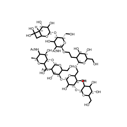 CC(=O)NC1C(O)[C@H](O[C@@H]2OC3CC(O)(O)[C@@H]3[C@H](O)C2O)[C@H](CO)O[C@H]1OCCC1[C@@H](OCC2O[C@@H](O[C@@H]3C(CO)O[C@@H](O[C@@H]4C(CO)O[C@@H](C)C(NC(C)=O)[C@H]4O)C(NC(C)=O)[C@H]3O)C(O)[C@@H](O[C@H]3OC(CO)[C@@H](O)C(O)C3O)[C@@H]2O)OC(CO)[C@@H](O)[C@@H]1O